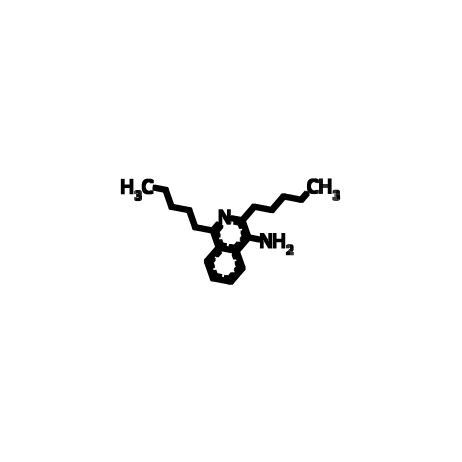 CCCCCc1nc(CCCCC)c2ccccc2c1N